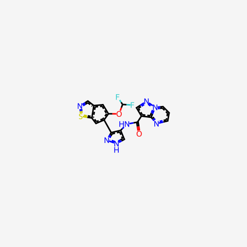 O=C(Nc1c[nH]nc1-c1cc2sncc2cc1OC(F)F)c1cnn2cccnc12